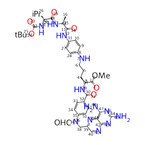 COC(=O)[C@H](CCCNc1ccc(NC(=O)[C@H](C)NC(=O)[C@@H](NC(=O)OC(C)(C)C)C(C)C)cc1)NC(=O)c1ccc(N(C=O)Cc2cnc3nc(N)nc(N)c3n2)cc1